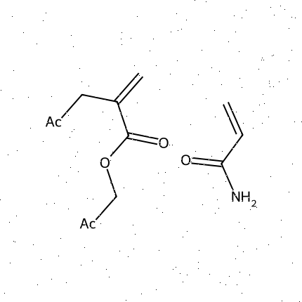 C=C(CC(C)=O)C(=O)OCC(C)=O.C=CC(N)=O